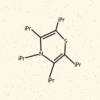 CC(C)C1=C(C(C)C)N(C(C)C)C(C(C)C)=C(C(C)C)S1